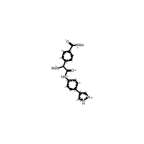 CNC(=O)c1ccc(C(NC)C(=O)Nc2ccc(-c3cn[nH]c3)cc2)cc1